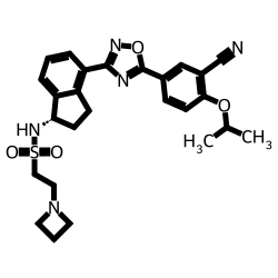 CC(C)Oc1ccc(-c2nc(-c3cccc4c3CC[C@@H]4NS(=O)(=O)CCN3CCC3)no2)cc1C#N